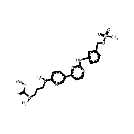 CN(CCCN(C)c1ccc(-c2ccnc(Nc3cccc(COS(C)(=O)=O)c3)n2)cn1)C(=O)OC(C)(C)C